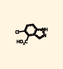 O=C(O)c1c(Cl)ccc2[nH]ncc12